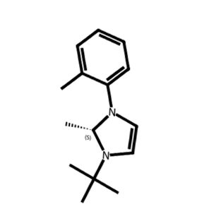 Cc1ccccc1N1C=CN(C(C)(C)C)[C@@H]1C